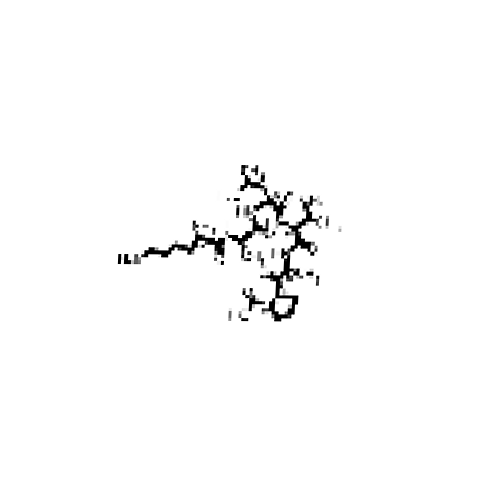 CC(C)C[C@H](NC(=O)[C@H](C)NC(=O)[C@@H](N)CCCCN)C(=O)N[C@H](C(=O)N[C@@H](C)C(=O)N1CCC[C@H]1C(=O)O)C(C)C